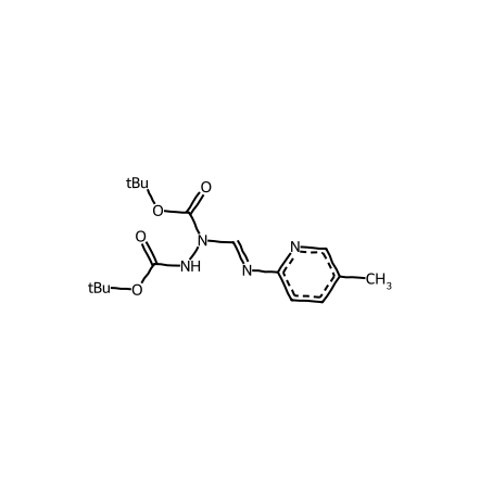 Cc1ccc(/N=C/N(NC(=O)OC(C)(C)C)C(=O)OC(C)(C)C)nc1